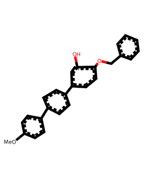 COc1ccc(-c2ccc(-c3ccc(OCc4ccccc4)c(O)c3)cc2)cc1